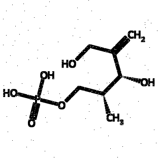 C=C(CO)[C@H](O)[C@H](C)COP(=O)(O)O